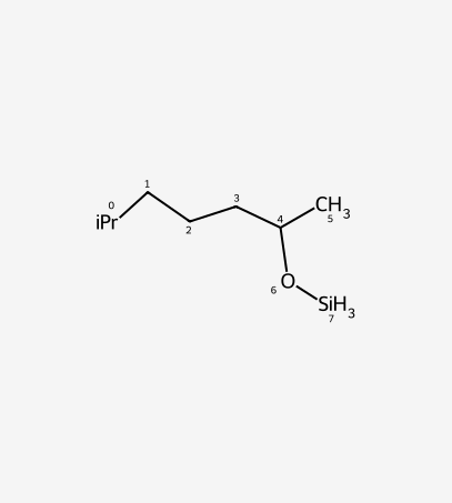 CC(C)CCCC(C)O[SiH3]